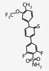 Cc1ccc(C2C=CC(c3cc(F)c(S(N)(=O)=O)c(F)c3)=CC2=S)cc1OC(F)(F)F